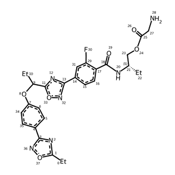 CCc1nc(-c2ccc(OC(CC)c3nc(-c4ccc(C(=O)N[C@@H](CC)COC(=O)CN)c(F)c4)no3)cc2)no1